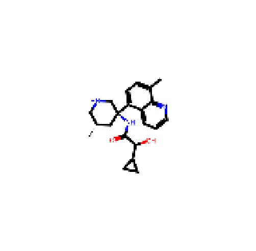 Cc1ccc([C@@]2(NC(=O)C(O)C3CC3)CNC[C@@H](C)C2)c2cccnc12